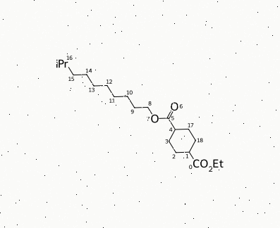 CCOC(=O)C1CCC(C(=O)OCCCCCCCCC(C)C)CC1